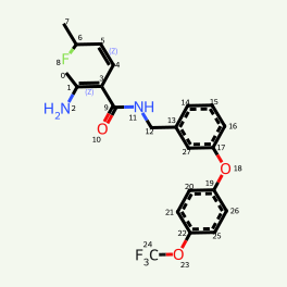 C/C(N)=C(\C=C/C(C)F)C(=O)NCc1cccc(Oc2ccc(OC(F)(F)F)cc2)c1